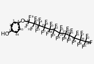 Oc1ccc(OC(F)(F)C(F)(F)C(F)(F)C(F)(F)C(F)(F)C(F)(F)C(F)(F)C(F)(F)C(F)(F)C(F)(F)C(F)(F)C(F)(F)F)cc1